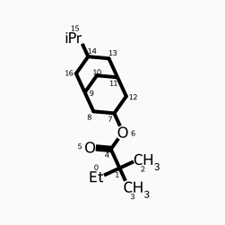 CCC(C)(C)C(=O)OC1CC2CC(C1)CC(C(C)C)C2